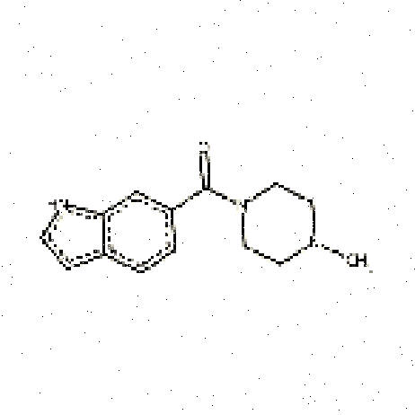 CN1CCN(C(=O)c2ccc3cc[nH]c3c2)CC1